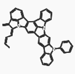 C=c1/c(=C\C=C/C)n2c3cc4c5cc6c7ccccc7n(-c7ccccc7)c6cc5n5c6ccccc6c(c3c3cccc1c32)c45